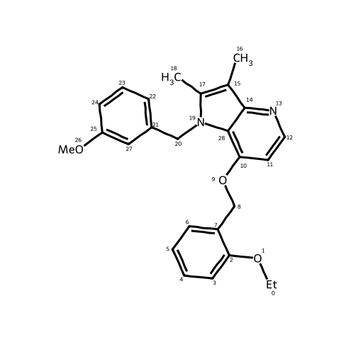 CCOc1ccccc1COc1ccnc2c(C)c(C)n(Cc3cccc(OC)c3)c12